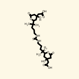 CC(C)(CCCNC(=S)NCCCC(C)(C)C1CC(O)(CC(=O)O)CC(=O)O1)C1CC(O)(CC(=O)O)CC(=O)O1